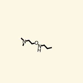 CCCNOCCN(C)C